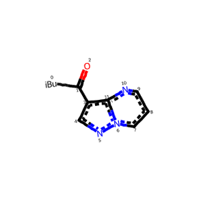 CCC(C)C(=O)c1cnn2cccnc12